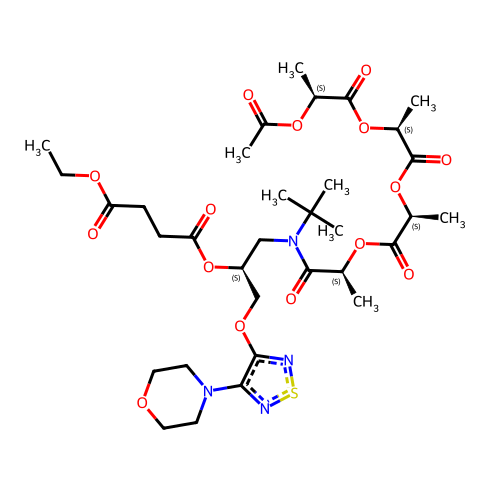 CCOC(=O)CCC(=O)O[C@H](COc1nsnc1N1CCOCC1)CN(C(=O)[C@H](C)OC(=O)[C@H](C)OC(=O)[C@H](C)OC(=O)[C@H](C)OC(C)=O)C(C)(C)C